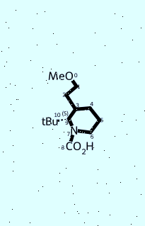 COCCC1CCCN(C(=O)O)[C@@H]1C(C)(C)C